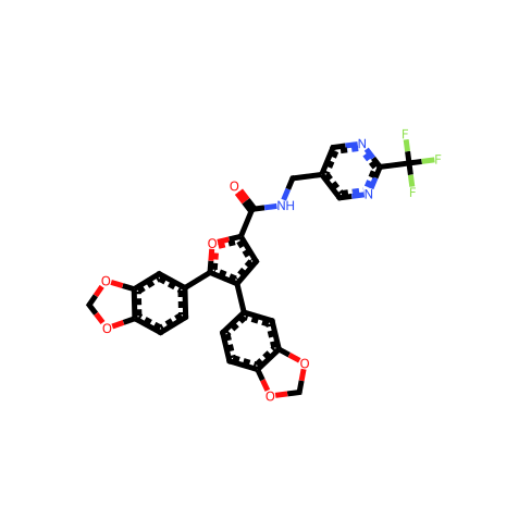 O=C(NCc1cnc(C(F)(F)F)nc1)c1cc(-c2ccc3c(c2)OCO3)c(-c2ccc3c(c2)OCO3)o1